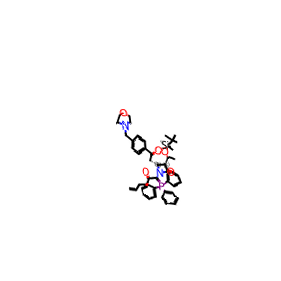 C=CCCC(=O)C(N1C(=O)[C@H](C(C)O[Si](C)(C)C(C)(C)C)[C@H]1CC(=O)c1ccc(CN2CCOCC2)cc1)=P(c1ccccc1)(c1ccccc1)c1ccccc1